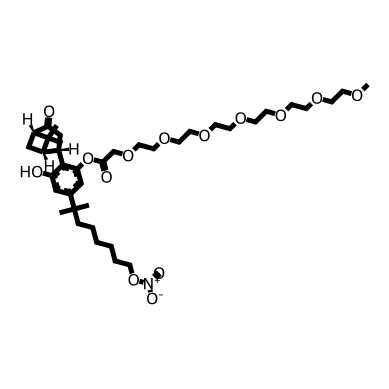 COCCOCCOCCOCCOCCOCCOCC(=O)Oc1cc(C(C)(C)CCCCCCO[N+](=O)[O-])cc(O)c1[C@H]1CC(=O)[C@H]2C[C@@H]1C2(C)C